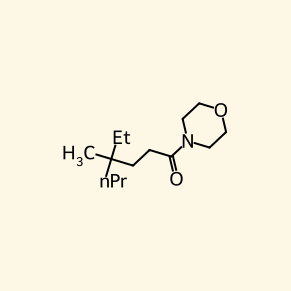 CCCC(C)(CC)CCC(=O)N1CCOCC1